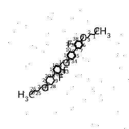 CCCCOc1ccc(-c2ccc(OCc3ccc(C4CCC(OCCCC)CC4)c(F)c3F)cc2)c(F)c1